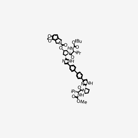 COC(=O)NC(C(=O)N1CCC[C@H]1c1nc(-c2ccc(-c3ccc(-c4cnc([C@@H]5C[C@@H](OC(=O)N6Cc7ccc8c(c7C6)OCO8)CN5C(=O)[C@@H](NC(=O)OC(C)(C)C)C(C)C)[nH]4)cc3)cc2)c[nH]1)C(C)C